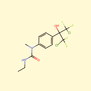 CCNC(=O)N(C)c1ccc(C(O)(C(F)(F)Cl)C(F)(F)Cl)cc1